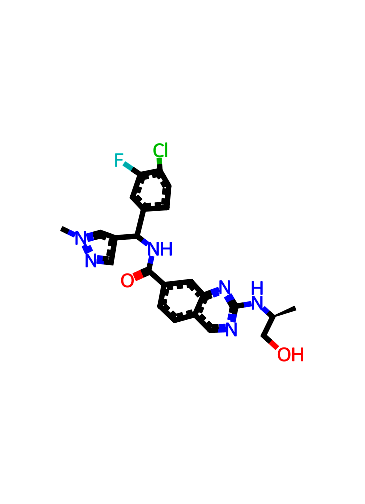 C[C@@H](CO)Nc1ncc2ccc(C(=O)NC(c3ccc(Cl)c(F)c3)c3cnn(C)c3)cc2n1